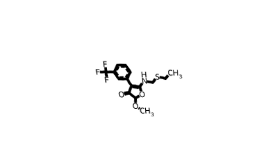 CCSCNC1=C(c2cccc(C(F)(F)F)c2)C(=O)C(OC)O1